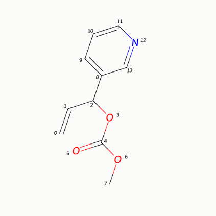 C=CC(OC(=O)OC)c1cc[c]nc1